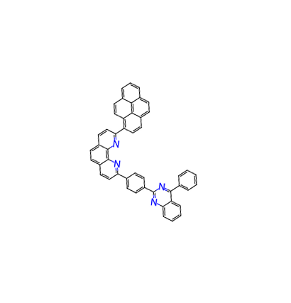 c1ccc(-c2nc(-c3ccc(-c4ccc5ccc6ccc(-c7ccc8ccc9cccc%10ccc7c8c9%10)nc6c5n4)cc3)nc3ccccc23)cc1